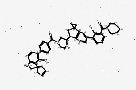 O=C(c1ccc(-c2cnc3c(c2Cl)C2(CC=CC2)CN3)cc1)N1CCOC(N2CC3(CC3)c3cc(-c4cccc(C(=O)N5CCCCC5)c4F)cnc32)C1